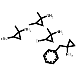 CC1CC1(C)N.CCC1CC1(C)N.CCCCC1CC1(C)N.NC1(Cc2ccccc2)CC1